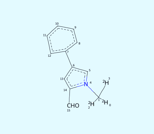 [2H]C([2H])([2H])n1cc(-c2ccccc2)cc1C=O